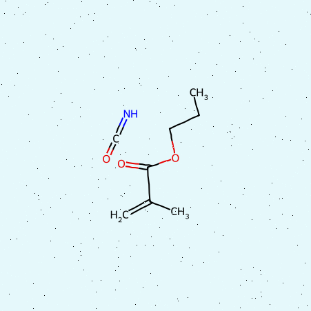 C=C(C)C(=O)OCCC.N=C=O